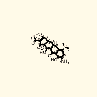 CN(C)c1cc(N)c(O)c2c1C[C@H]1C[C@H]3CC(O)=C(C(N)=O)C(=O)[C@@]3(O)C(O)=C1C2=O